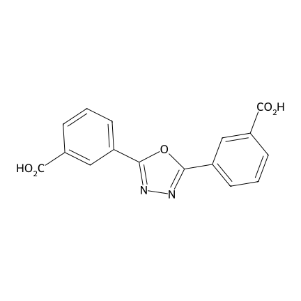 O=C(O)c1cccc(-c2nnc(-c3cccc(C(=O)O)c3)o2)c1